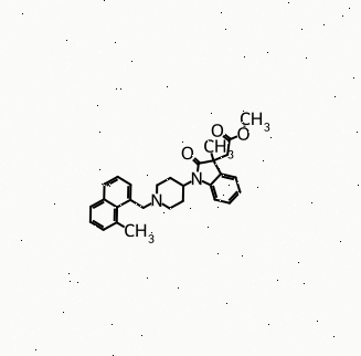 COC(=O)CC1(C)C(=O)N(C2CCN(Cc3cccc4cccc(C)c34)CC2)c2ccccc21